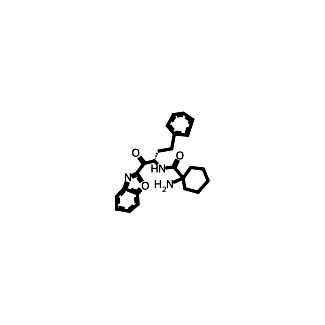 NC1(C(=O)N[C@@H](CCc2ccccc2)C(=O)c2nc3ccccc3o2)CCCCC1